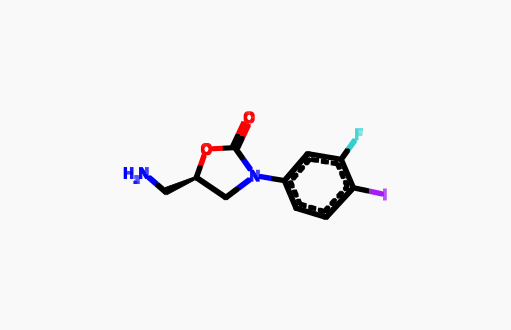 NC[C@@H]1CN(c2ccc(I)c(F)c2)C(=O)O1